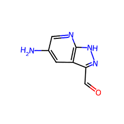 Nc1cnc2[nH]nc(C=O)c2c1